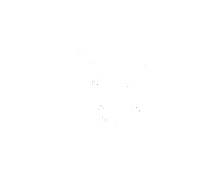 CCOC(=O)c1cc(NC(=O)OC(C)(C)C)c(-c2c(C#N)cnn2C)[nH]1